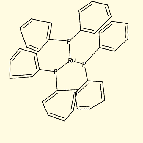 c1ccc([P](c2ccccc2)[Ru]([P](c2ccccc2)c2ccccc2)[P](c2ccccc2)c2ccccc2)cc1